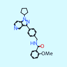 COc1ccccc1C(=O)NCc1ccc(-c2nn(C3CCCC3)c3ccncc23)cc1